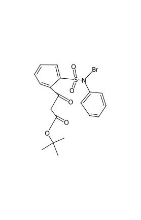 CC(C)(C)OC(=O)CC(=O)c1ccccc1S(=O)(=O)N(Br)c1ccccc1